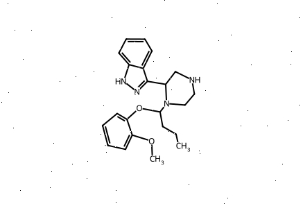 CCCC(Oc1cc[c]cc1OC)N1CCNCC1c1n[nH]c2ccccc12